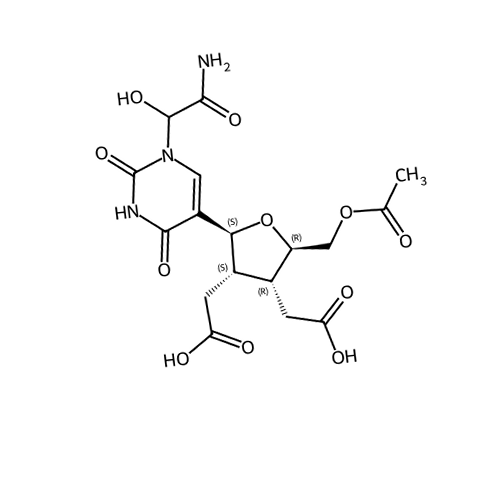 CC(=O)OC[C@@H]1O[C@H](c2cn(C(O)C(N)=O)c(=O)[nH]c2=O)[C@@H](CC(=O)O)[C@H]1CC(=O)O